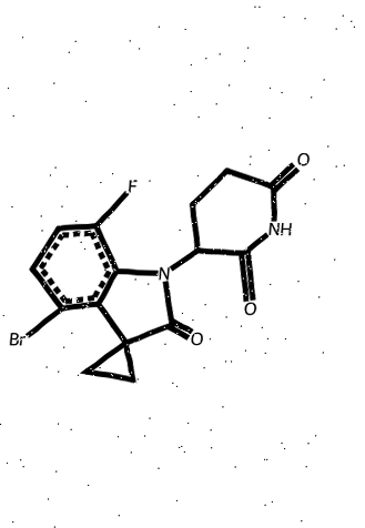 O=C1CCC(N2C(=O)C3(CC3)c3c(Br)ccc(F)c32)C(=O)N1